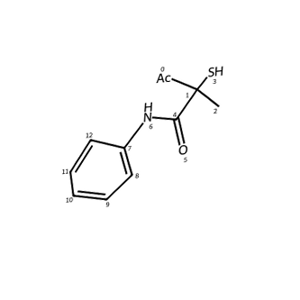 CC(=O)C(C)(S)C(=O)Nc1ccccc1